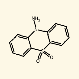 NN1c2ccccc2S(=O)(=O)c2ccccc21